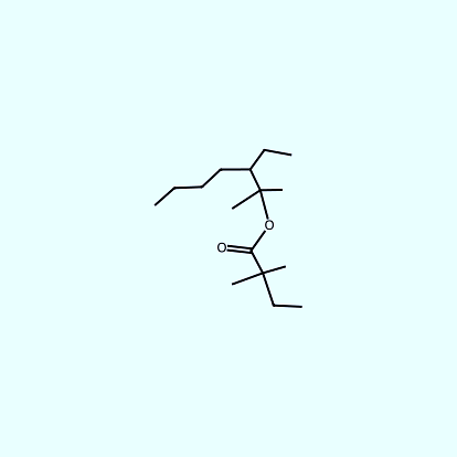 CCCCC(CC)C(C)(C)OC(=O)C(C)(C)CC